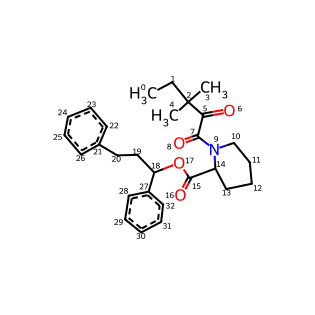 CCC(C)(C)C(=O)C(=O)N1CCCCC1C(=O)OC(CCc1ccccc1)c1ccccc1